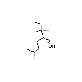 CCC(C)(C)C(CCN(C)C)OO